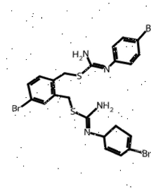 N/C(=N\c1ccc(Br)cc1)SCc1ccc(Br)cc1CS/C(N)=N/C1C=CC(Br)=CC1